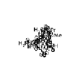 CC[C@H](C)[C@@H](C(CC(=O)N1CCC[C@H]1[C@H](OC)[C@@H](C)C(=O)N[C@H](C)[C@@H](O)c1ccccc1)OC)N(C)C(=O)[C@@H](NC(=O)C(C(C)C)N(C)C(=O)OCc1ccc(NC(=O)[C@@H](CCCNC(N)=O)NC(=O)[C@H](NC(=O)CCCCCN2C(=O)C=CC2=O)C(C)C)cc1)C(C)C